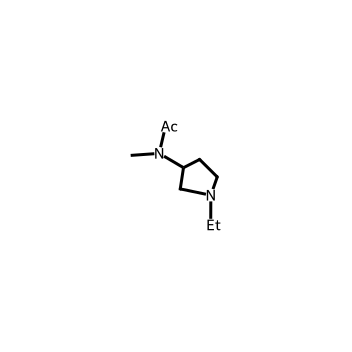 CCN1CCC(N(C)C(C)=O)C1